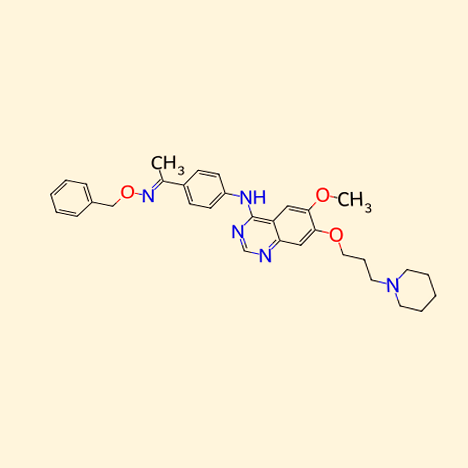 COc1cc2c(Nc3ccc(C(C)=NOCc4ccccc4)cc3)ncnc2cc1OCCCN1CCCCC1